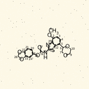 COc1ccc(C2COCCO2)c2sc(NC(=O)Oc3ccc4c(c3)OCO4)nc12